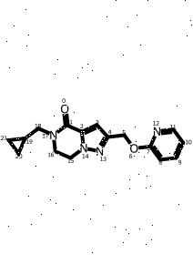 O=C1c2cc(COc3ccccn3)nn2CCN1CC1CC1